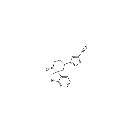 N#Cc1cc(C2CCC(=O)C3(C=Nc4ccccc43)C2)cs1